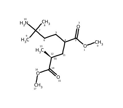 COC(=O)C(CCC(C)(C)N)C[C@H](C)C(=O)OC